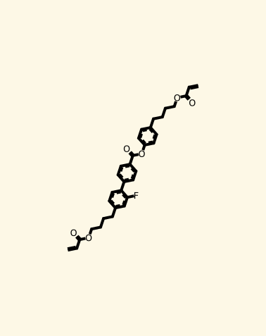 C=CC(=O)OCCCCc1ccc(OC(=O)c2ccc(-c3ccc(CCCCOC(=O)C=C)cc3F)cc2)cc1